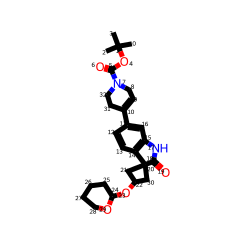 CC(C)(C)OC(=O)N1CC=C(c2ccc3c(c2)NC(=O)C32CC(OC3CCCCO3)C2)CC1